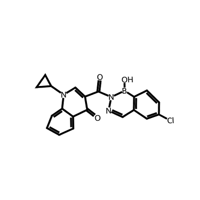 O=C(c1cn(C2CC2)c2ccccc2c1=O)N1N=Cc2cc(Cl)ccc2B1O